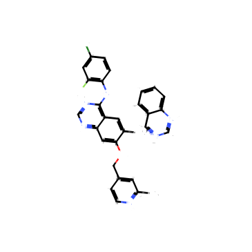 COc1cc2c(Nc3ccc(Cl)cc3F)ncnc2cc1OCc1ccnc(C#N)c1.c1ccc2ncncc2c1